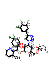 Cc1cccnc1[C@@H](S[C@@H]1O[C@@H]2COC(C)(C)O[C@@H]2[C@H](n2cc(-c3cc(F)c(F)c(F)c3)nn2)[C@H]1O)C1(O)CCC(F)(F)CC1